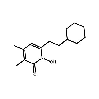 Cc1cc(CCC2CCCCC2)n(O)c(=O)c1C